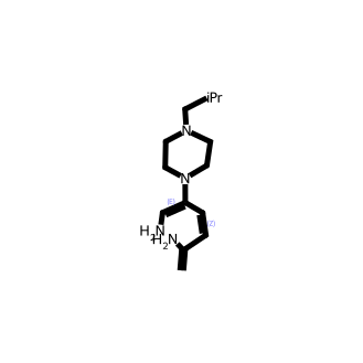 C=C(N)/C=C\C(=C/N)N1CCN(CC(C)C)CC1